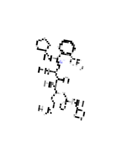 N=C(/C=C(\NC1CCCC1)c1ccccc1C(F)(F)F)C(=O)NC(CCN)CC(=O)NC1CCC1